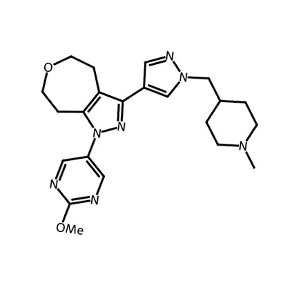 COc1ncc(-n2nc(-c3cnn(CC4CCN(C)CC4)c3)c3c2CCOCC3)cn1